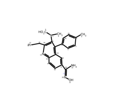 Cc1ccc(-c2c(N(C)C(=O)O)c(CC(C)C)nc3ccc(/C(N)=N/O)cc23)cc1